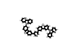 C1=CC(n2c3ccccc3c3ncccc32)Cc2c1oc1ccc(-c3cncc(-c4ccc5oc6ccc(-n7c8ccccc8c8ncccc87)cc6c5c4)c3)cc21